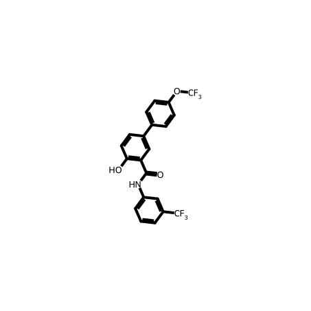 O=C(Nc1cccc(C(F)(F)F)c1)c1cc(-c2ccc(OC(F)(F)F)cc2)ccc1O